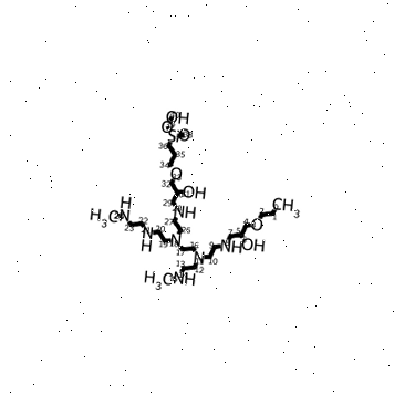 CCCOCC(O)CNCCN(CCNC)CCN(CCNCCNC)CCNCC(O)COCCC[Si](=O)OO